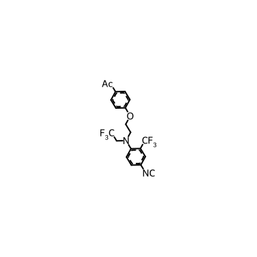 [C-]#[N+]c1ccc(N(CCOc2ccc(C(C)=O)cc2)CC(F)(F)F)c(C(F)(F)F)c1